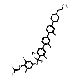 CCCC1CCC(c2ccc(-c3ccc(-c4cc(F)c(C(F)(F)Oc5cc(F)c(OC=C(F)F)c(F)c5)c(F)c4)c(F)c3)c(F)c2)CC1